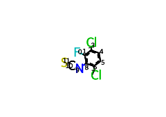 Fc1c(Cl)ccc(Cl)c1N=C=S